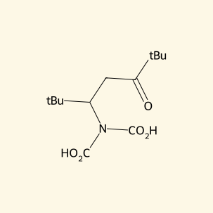 CC(C)(C)C(=O)CC(N(C(=O)O)C(=O)O)C(C)(C)C